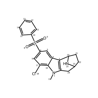 Cn1c2c(c3cc(S(=O)(=O)c4ccccc4)cc(Cl)c31)C1CCC(C2)N1